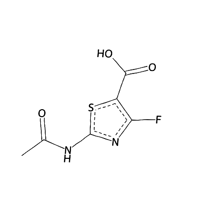 CC(=O)Nc1nc(F)c(C(=O)O)s1